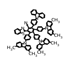 Cc1ccc2c(c1)c1cc(C)ccc1n2-c1ccc(-c2c(-c3ccc(-n4c5ccccc5c5ccccc54)cc3)c(C#N)c(-c3nc4ccccc4s3)c(-c3ccc(-n4c5ccc(C)cc5c5cc(C)ccc54)cc3)c2-c2ccc(-n3c4ccc(C)cc4c4cc(C)ccc43)cc2)cc1